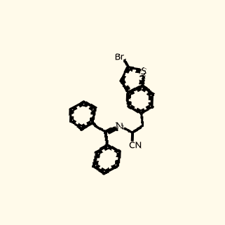 N#CC(Cc1ccc2sc(Br)cc2c1)N=C(c1ccccc1)c1ccccc1